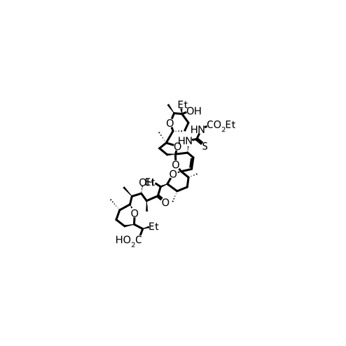 CCOC(=O)NC(=S)N[C@@H]1C=C[C@]2(O[C@H](C(CC)C(=O)[C@@H](C)[C@@H](O)[C@H](C)[C@@H]3O[C@@H]([C@@H](CC)C(=O)O)CC[C@@H]3C)[C@@H](C)C[C@H]2C)O[C@@]12CC[C@@](C)([C@H]1CC[C@](O)(CC)[C@H](C)O1)O2